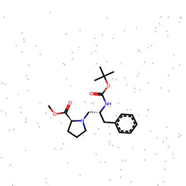 COC(=O)[C@@H]1CCCN1C[C@@H](Cc1ccccc1)NC(=O)OC(C)(C)C